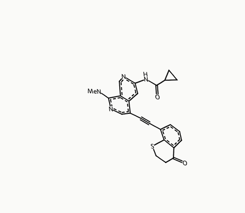 CNc1ncc(C#Cc2cccc3c2SCCC3=O)c2cc(NC(=O)C3CC3)ncc12